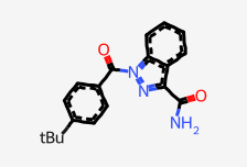 CC(C)(C)c1ccc(C(=O)n2nc(C(N)=O)c3ccccc32)cc1